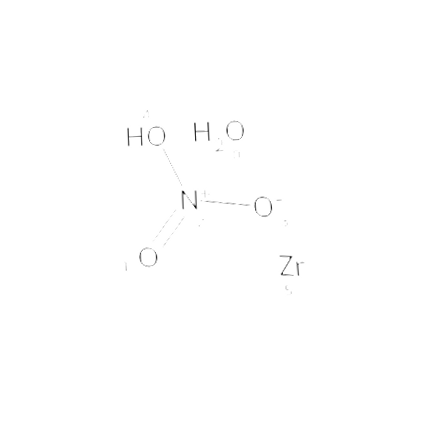 O.O=[N+]([O-])O.[Zr]